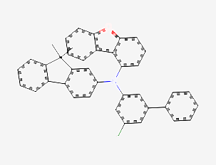 CC1(C)c2ccccc2-c2ccc(N(c3cc(Cl)cc(-c4ccccc4)c3)c3cccc4oc5ccccc5c34)cc21